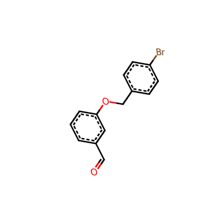 O=Cc1cccc(OCc2ccc(Br)cc2)c1